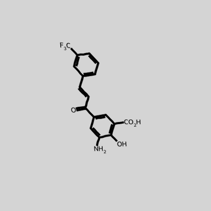 Nc1cc(C(=O)C=Cc2cccc(C(F)(F)F)c2)cc(C(=O)O)c1O